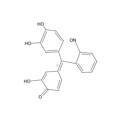 O=Nc1ccccc1/C(=C1\C=CC(=O)C(O)=C1)c1ccc(O)c(O)c1